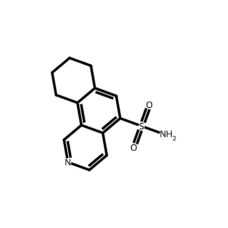 NS(=O)(=O)c1cc2c(c3cnccc13)CCCC2